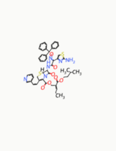 CC/C=C(\COC(=O)C1=C(/C=C\c2cccnc2)CS[C@H]2[C@H](NC(=O)C(=NOC(c3ccccc3)(c3ccccc3)c3ccccc3)c3csc(N)n3)C(=O)N12)C(=O)OCCC(C)C